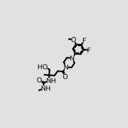 CNC(=O)NC(C)(CO)CCC(=O)N1CCN(c2cc(F)c(F)c(OC)c2)CC1